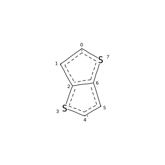 [c]1cc2s[c]cc2s1